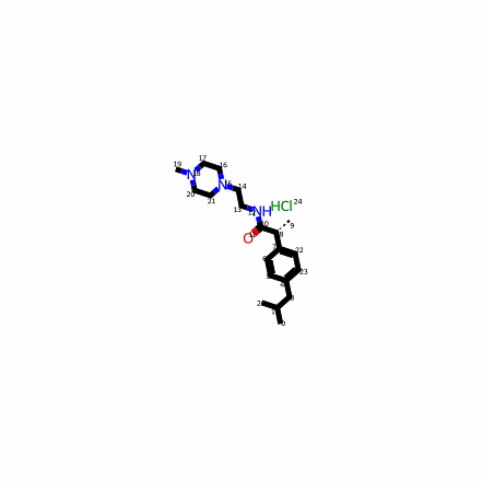 CC(C)Cc1ccc([C@@H](C)C(=O)NCCN2CCN(C)CC2)cc1.Cl